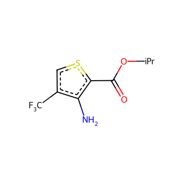 CC(C)OC(=O)c1scc(C(F)(F)F)c1N